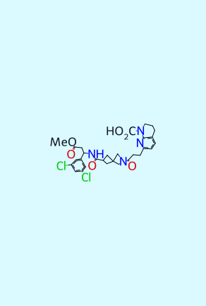 COC(=O)CC(NC(=O)C1CC2(C1)CN(C(=O)CCc1ccc3c(n1)N(C(=O)O)CCC3)C2)c1cc(Cl)cc(Cl)c1